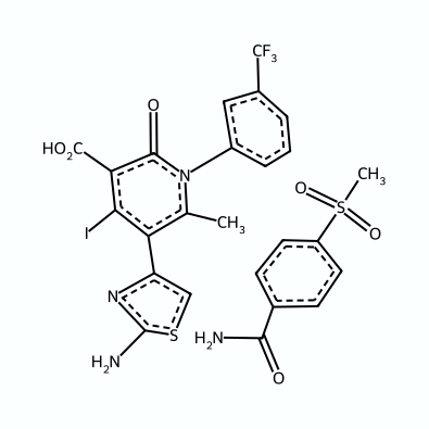 CS(=O)(=O)c1ccc(C(N)=O)cc1.Cc1c(-c2csc(N)n2)c(I)c(C(=O)O)c(=O)n1-c1cccc(C(F)(F)F)c1